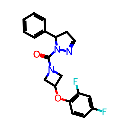 O=C(N1CC(Oc2ccc(F)cc2F)C1)N1N=CCC1c1ccccc1